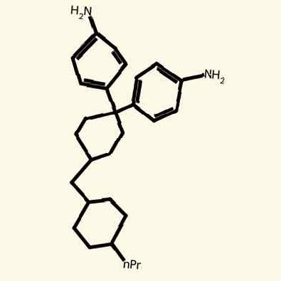 CCCC1CCC(CC2CCC(c3ccc(N)cc3)(c3ccc(N)cc3)CC2)CC1